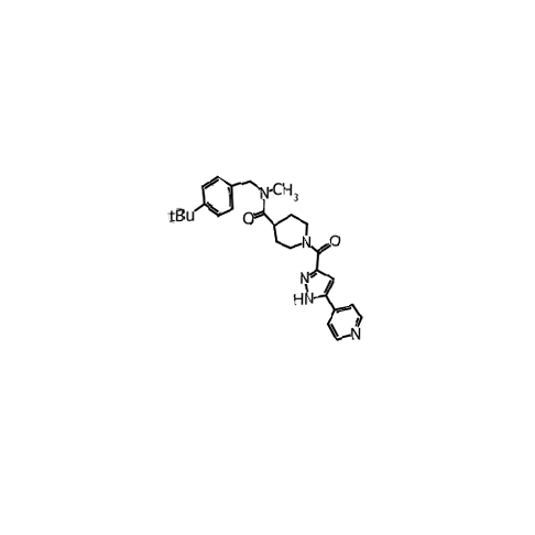 CN(Cc1ccc(C(C)(C)C)cc1)C(=O)C1CCN(C(=O)c2cc(-c3ccncc3)[nH]n2)CC1